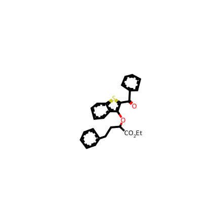 CCOC(=O)C(CCc1ccccc1)Oc1c(C(=O)c2ccccc2)sc2ccccc12